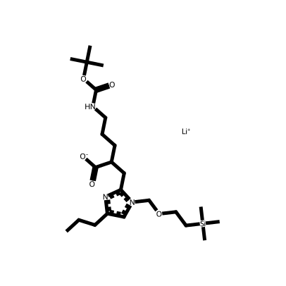 CCCc1cn(COCC[Si](C)(C)C)c(CC(CCCNC(=O)OC(C)(C)C)C(=O)[O-])n1.[Li+]